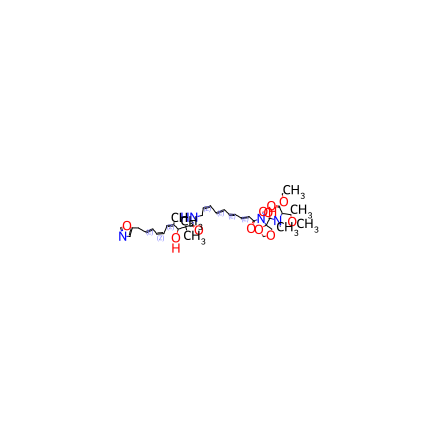 CCOC(=O)C(C(C)OC)N(C)C(=O)C1(N(O)C(=O)/C=C/C=C/C=C/C=C\CNC(=O)C(C)(C)C(O)\C(C)=C/C=C\C=C\Cc2cnco2)COCO1